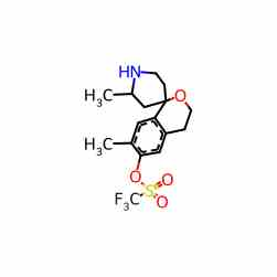 Cc1cc2c(cc1OS(=O)(=O)C(F)(F)F)CCOC21CCNC(C)C1